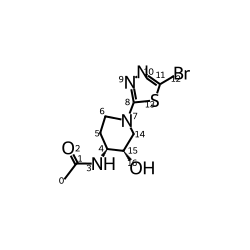 CC(=O)N[C@H]1CCN(c2nnc(Br)s2)C[C@H]1O